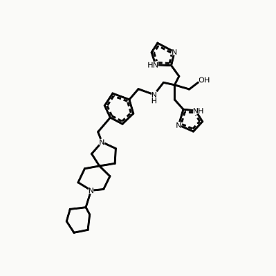 OCC(CNCc1ccc(CN2CCC3(CCN(C4CCCCC4)CC3)C2)cc1)(Cc1ncc[nH]1)Cc1ncc[nH]1